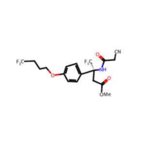 COC(=O)C[C@](NC(=O)CC#N)(c1ccc(OCCCC(F)(F)F)cc1)C(F)(F)F